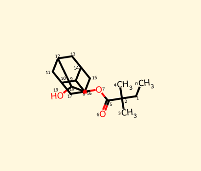 CCC(C)(C)C(=O)OCC1C2CC3CC1CC(C2)C3O